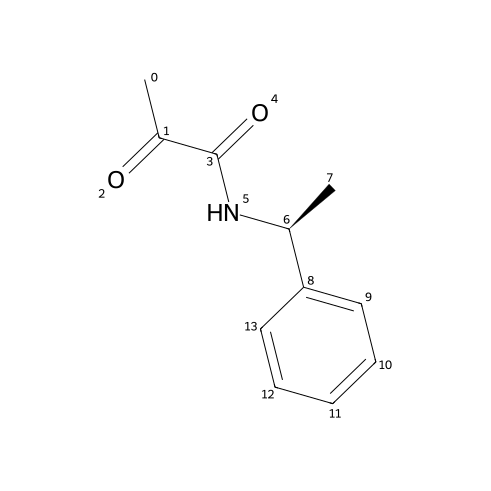 CC(=O)C(=O)N[C@@H](C)c1ccccc1